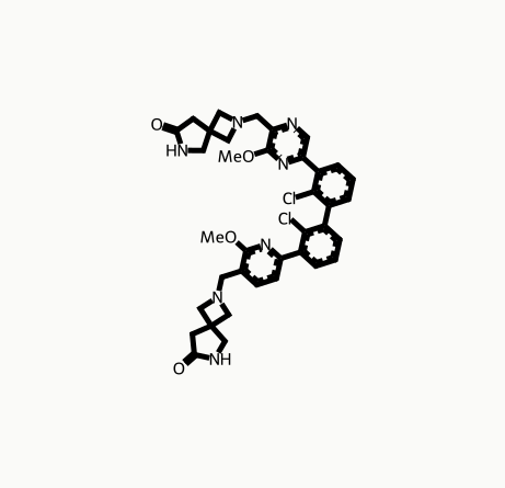 COc1nc(-c2cccc(-c3cccc(-c4cnc(CN5CC6(CNC(=O)C6)C5)c(OC)n4)c3Cl)c2Cl)ccc1CN1CC2(CNC(=O)C2)C1